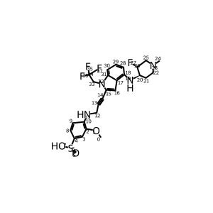 COc1cc(S(=O)O)ccc1NCC#Cc1cc2c(N[C@@H]3CCN(C)C[C@@H]3F)cccc2n1CC(F)(F)F